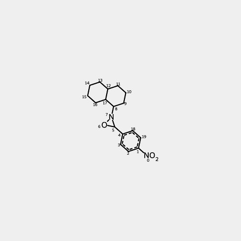 O=[N+]([O-])c1ccc(C2ON2C2CCCC3CCCCC32)cc1